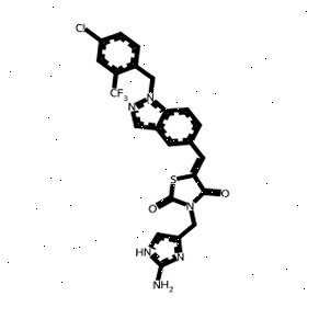 Nc1nc(CN2C(=O)SC(=Cc3ccc4c(cnn4Cc4ccc(Cl)cc4C(F)(F)F)c3)C2=O)c[nH]1